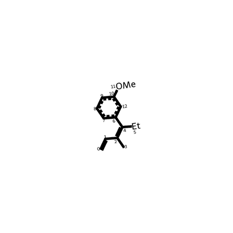 C=C/C(C)=C(/CC)c1cccc(OC)c1